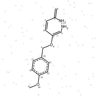 C=C(N)/C=C\C(=C/N)OCc1ccc(OC)cc1